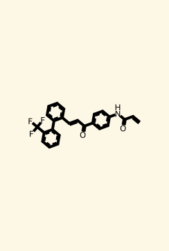 C=CC(=O)Nc1ccc(C(=O)C=Cc2ccccc2-c2ccccc2C(F)(F)F)cc1